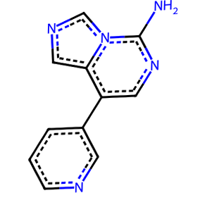 Nc1ncc(-c2cccnc2)c2cncn12